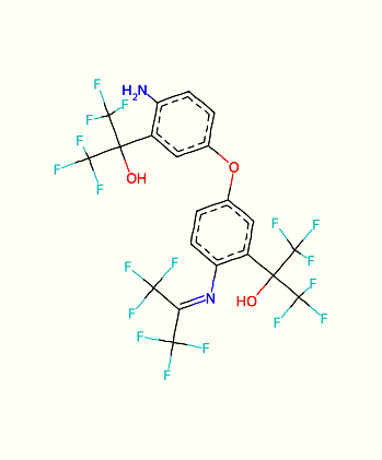 Nc1ccc(Oc2ccc(N=C(C(F)(F)F)C(F)(F)F)c(C(O)(C(F)(F)F)C(F)(F)F)c2)cc1C(O)(C(F)(F)F)C(F)(F)F